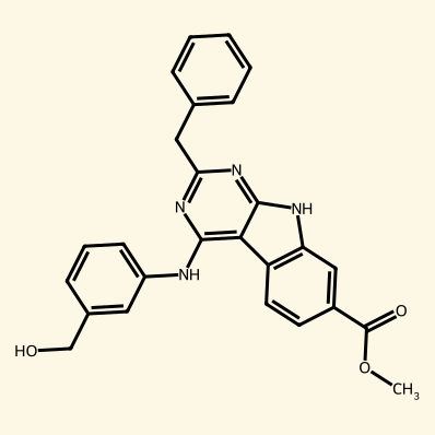 COC(=O)c1ccc2c(c1)[nH]c1nc(Cc3ccccc3)nc(Nc3cccc(CO)c3)c12